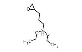 CCO[SiH](CCCC1CO1)OCC